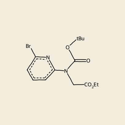 CCOC(=O)CN(C(=O)OC(C)(C)C)c1cccc(Br)n1